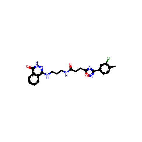 Cc1ccc(-c2noc(CCC(=O)NCCCNc3n[nH]c(=O)c4ccccc34)n2)cc1Cl